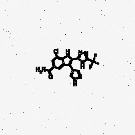 CC(F)(F)c1nnc(-c2[nH]c3c(Cl)cc(C(N)=O)cc3c2-c2cn[nH]c2)[nH]1